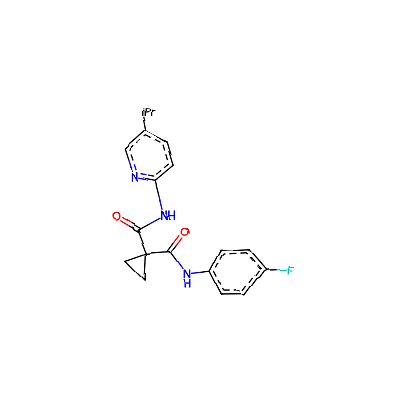 CC(C)c1ccc(NC(=O)C2(C(=O)Nc3ccc(F)cc3)CC2)nc1